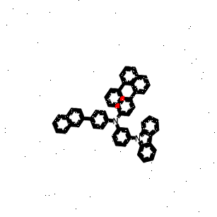 c1ccc(-c2cccc3cccc(-c4ccc(N(c5ccc(-c6ccc7ccccc7c6)cc5)c5cccc(-n6c7ccccc7c7ccccc76)c5)cc4)c23)cc1